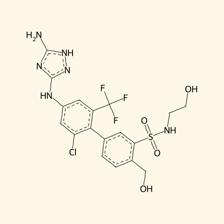 Nc1nc(Nc2cc(Cl)c(-c3ccc(CO)c(S(=O)(=O)NCCO)c3)c(C(F)(F)F)c2)n[nH]1